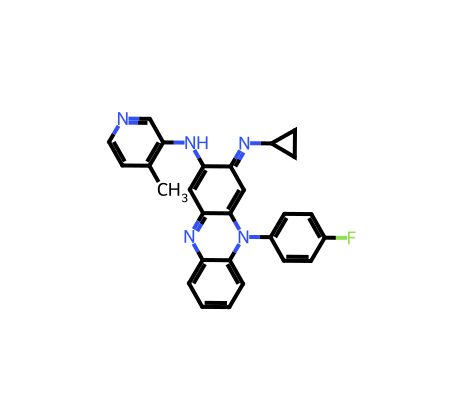 Cc1ccncc1Nc1cc2nc3ccccc3n(-c3ccc(F)cc3)c-2c/c1=N\C1CC1